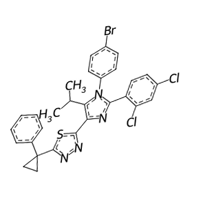 CC(C)c1c(-c2nnc(C3(c4ccccc4)CC3)s2)nc(-c2ccc(Cl)cc2Cl)n1-c1ccc(Br)cc1